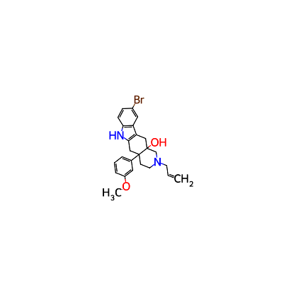 C=CCN1CCC2(c3cccc(OC)c3)Cc3[nH]c4ccc(Br)cc4c3CC2(O)C1